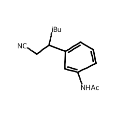 CCC(C)C(CC#N)c1cccc(NC(C)=O)c1